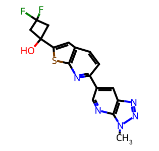 Cn1nnc2cc(-c3ccc4cc(C5(O)CC(F)(F)C5)sc4n3)cnc21